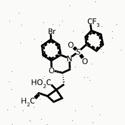 C=CC1CCC1(C[C@H]1CN(S(=O)(=O)c2cccc(C(F)(F)F)c2)c2cc(Br)ccc2O1)C(=O)O